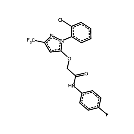 O=C(COc1cc(C(F)(F)F)nn1-c1ccccc1Cl)Nc1ccc(F)cc1